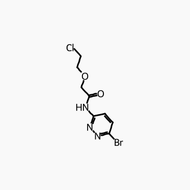 O=C(COCCCl)Nc1ccc(Br)nn1